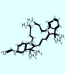 CCCCN1C(=CC=CC2=[N+](CCCC)c3ccc(OC=O)cc3C2(C)C)C(C)(C)c2ccccc21